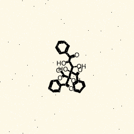 O=C(c1ccccc1)C(O)[C@@H](O)[C@](O)(C(=O)c1ccccc1)[C@@](O)(C(=O)Cl)C(=O)c1ccccc1